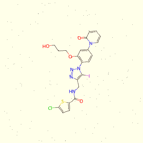 O=C(NCc1nnn(-c2ccc(-n3ccccc3=O)cc2OCCCO)c1I)c1ccc(Cl)s1